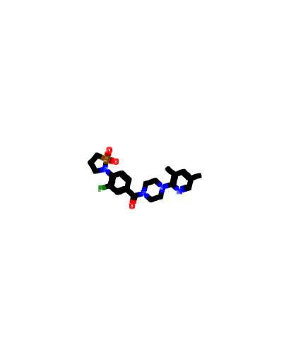 Cc1cnc(N2CCN(C(=O)c3ccc(N4CCCS4(=O)=O)c(F)c3)CC2)c(C)c1